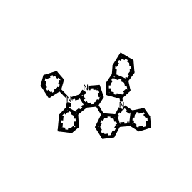 c1ccc(-n2c3ccccc3c3c(-c4cccc5c6ccccc6n(-c6ccc7ccccc7c6)c45)ccnc32)cc1